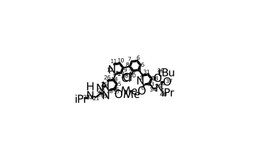 COc1nc(-c2cccc(-c3ccnc(-c4cc(OC)c5nc(CNC(C)C)nn5c4)c3Cl)c2Cl)ccc1CN(C(=O)OC(C)(C)C)C(C)C